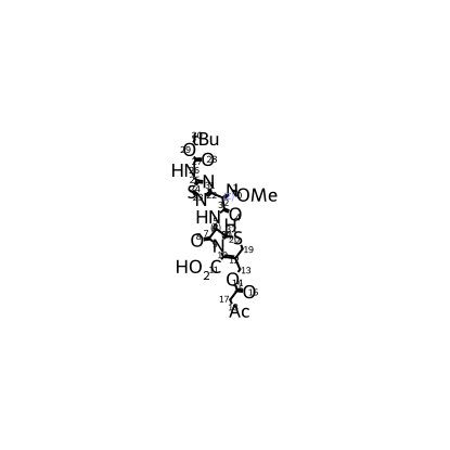 CO/N=C(\C(=O)N[C@@H]1C(=O)N2C(C(=O)O)=C(COC(=O)CC(C)=O)CS[C@@H]12)c1nsc(NC(=O)OC(C)(C)C)n1